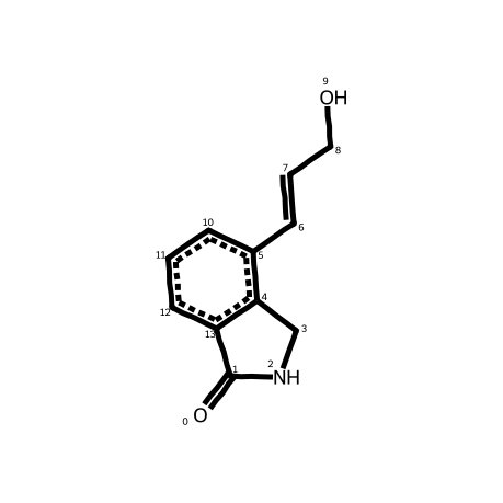 O=C1NCc2c(C=CCO)cccc21